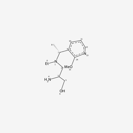 CCN(CC(N)CO)[C@H](C)c1cccnc1OC